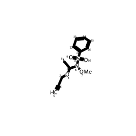 C#CCOC(I)N(OC)S(=O)(=O)c1ccccc1